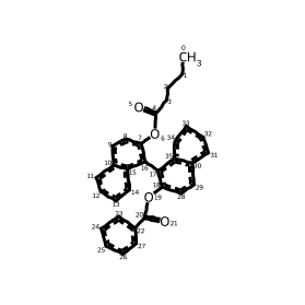 CCCCC(=O)Oc1ccc2ccccc2c1-c1c(OC(=O)c2ccccc2)ccc2ccccc12